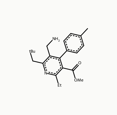 CCc1nc(CC(C)(C)C)c(CN)c(-c2ccc(C)cc2)c1C(=O)OC